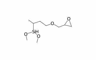 CO[SiH](OC)C(C)CCOCC1CO1